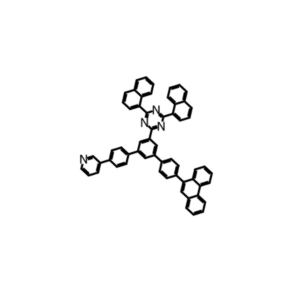 c1cncc(-c2ccc(-c3cc(-c4ccc(-c5cc6ccccc6c6ccccc56)cc4)cc(-c4nc(-c5cccc6ccccc56)nc(-c5cccc6ccccc56)n4)c3)cc2)c1